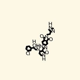 O=C1c2cc3nc(-c4c(NC[C@@H](O)c5cccc(Cl)c5)cc[nH]c4=O)[nH]c3cc2C(=O)N1CCc1c[nH]cn1